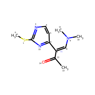 CSc1nccc(/C(=C\N(C)C)C(C)=O)n1